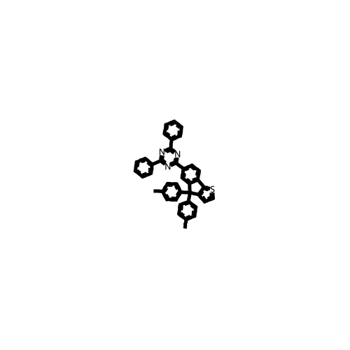 Cc1ccc(C2(c3ccc(C)cc3)c3cc(-c4nc(-c5ccccc5)nc(-c5ccccc5)n4)ccc3-c3sccc32)cc1